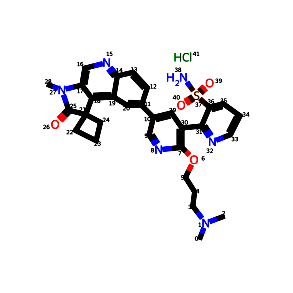 CN(C)CCCOc1ncc(-c2ccc3ncc4c(c3c2)C2(CCC2)C(=O)N4C)cc1-c1ncccc1S(N)(=O)=O.Cl